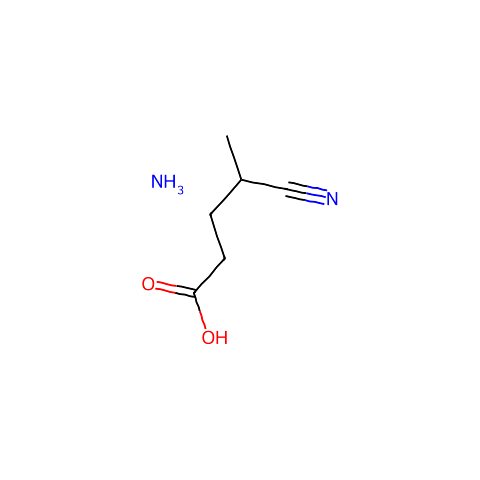 CC(C#N)CCC(=O)O.N